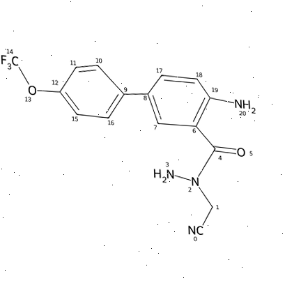 N#CCN(N)C(=O)c1cc(-c2ccc(OC(F)(F)F)cc2)ccc1N